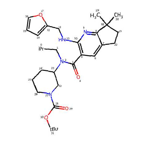 CC(C)CN(C(=O)c1cc2c(nc1NCc1ccco1)C(C)(C)CC2)C1CCCN(C(=O)OC(C)(C)C)C1